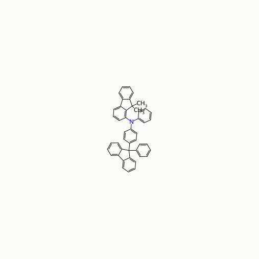 CC1(C)c2ccccc2-c2cccc(N(c3ccccc3)c3ccc(C4(c5ccccc5)c5ccccc5-c5ccccc54)cc3)c21